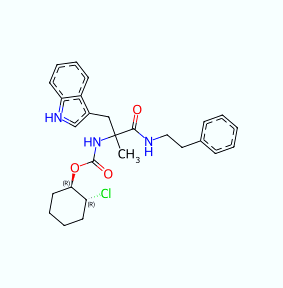 CC(Cc1c[nH]c2ccccc12)(NC(=O)O[C@@H]1CCCC[C@H]1Cl)C(=O)NCCc1ccccc1